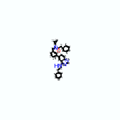 O=C(Cc1ccccc1)N(Cc1cccc(-c2ccc3ncnc(NCCc4ccccc4)c3c2)c1)C1CC1